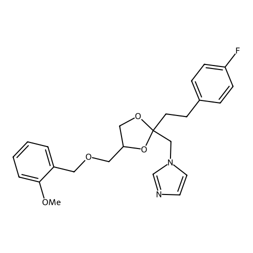 COc1ccccc1COCC1COC(CCc2ccc(F)cc2)(Cn2ccnc2)O1